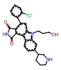 O=C1NC(=O)c2c1c(-c1ccccc1Cl)cc1c2c2ccc(C3CCCNC3)cc2n1CCCO